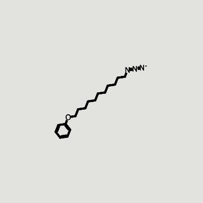 [N-]=[N+]=NCCCCCCCCCCCOc1ccccc1